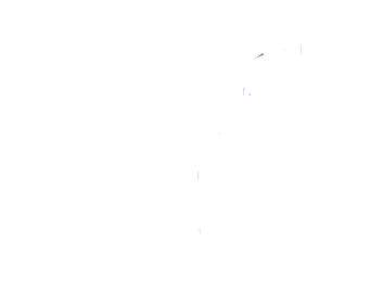 CCC(=O)Oc1ccc(C[C@H](NCC(C)OC(=O)CCC(C)C)C(=O)O)cc1OC(=O)CC